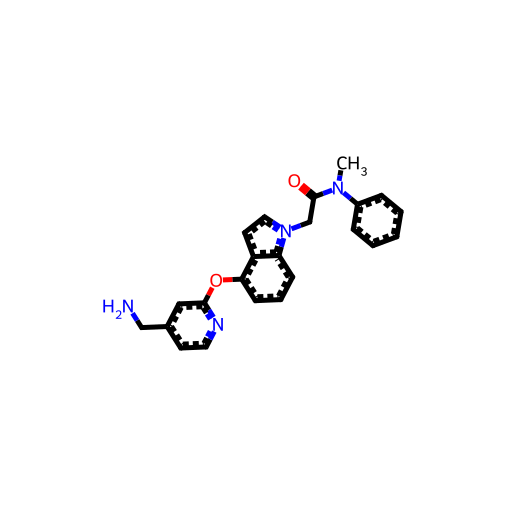 CN(C(=O)Cn1ccc2c(Oc3cc(CN)ccn3)cccc21)c1ccccc1